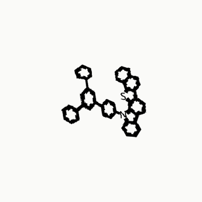 c1ccc(-c2cc(-c3ccccc3)cc(-c3ccc(-n4c5ccccc5c5ccc6c7ccc8ccccc8c7sc6c54)cc3)c2)cc1